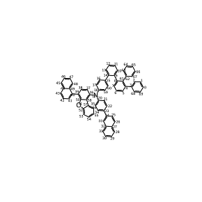 c1ccc(-c2cccc(-c3ccccc3-c3ccc(N(c4ccc(-c5ccc6ccccc6c5)cc4)c4ccc(-c5cccc6ccccc56)c5oc6ccccc6c45)cc3)c2-c2ccccc2)cc1